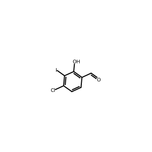 O=Cc1ccc(Cl)c(I)c1O